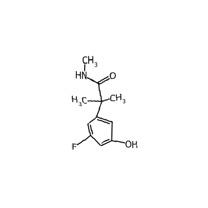 CNC(=O)C(C)(C)c1cc(O)cc(F)c1